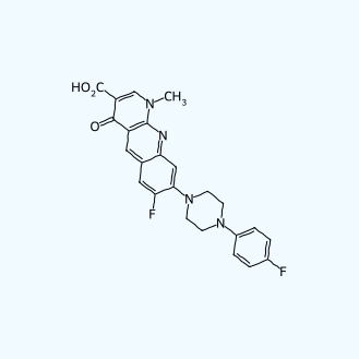 Cn1cc(C(=O)O)c(=O)c2cc3cc(F)c(N4CCN(c5ccc(F)cc5)CC4)cc3nc21